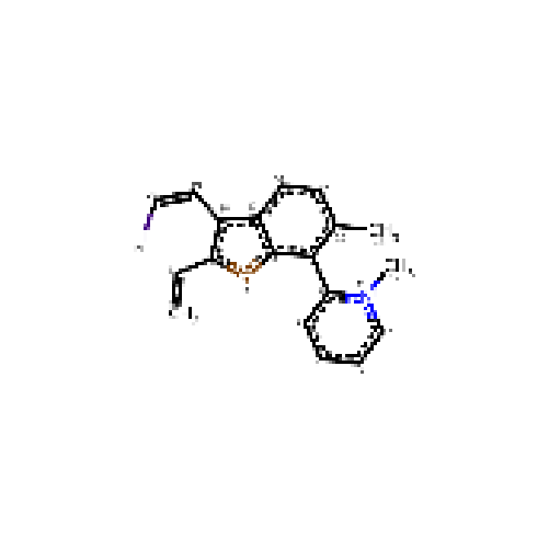 C=Cc1sc2c(-c3cccc[n+]3C)c(C)ccc2c1/C=C\I